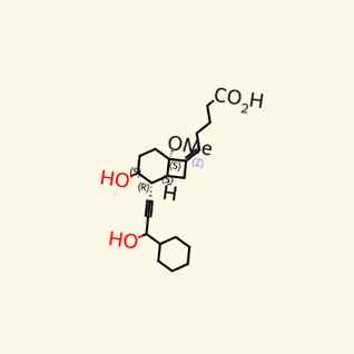 CO[C@@]12CC[C@H](O)[C@@H](C#CC(O)C3CCCCC3)[C@@H]1C/C2=C/CCCC(=O)O